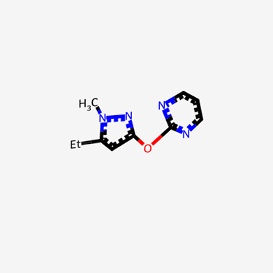 CCc1cc(Oc2ncccn2)nn1C